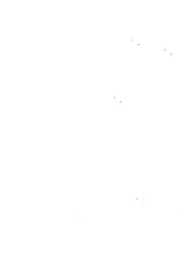 CCOc1cc(=O)n(C)cc1-c1cc(N(Cc2cncnc2)S(=O)(=O)Cc2ccccc2)ccc1Oc1ccc(F)cc1F